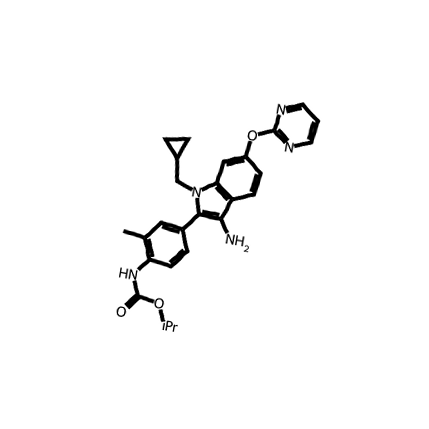 Cc1cc(-c2c(N)c3ccc(Oc4ncccn4)cc3n2CC2CC2)ccc1NC(=O)OC(C)C